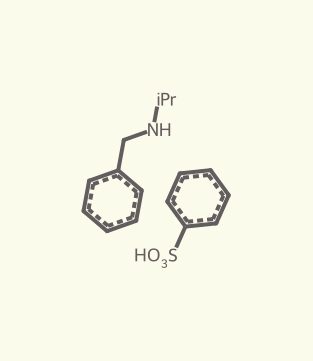 CC(C)NCc1ccccc1.O=S(=O)(O)c1ccccc1